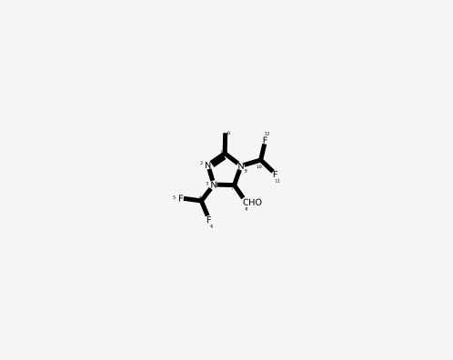 CC1=NN(C(F)F)C(C=O)N1C(F)F